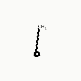 CCCCCCCCCCCCC12C=CC(CC1)C2